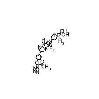 C[C@@H](Cn1cnnn1)Oc1cc(-c2cnc(Nc3cn(C4CCN(CC(C)(C)O)CC4)nc3C(F)(F)F)nc2)ccc1Cl